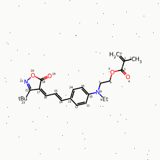 C=C(C)C(=O)OCCN(CC)c1ccc(/C=C/C=C2\C(=O)ON=C2C(C)(C)C)cc1